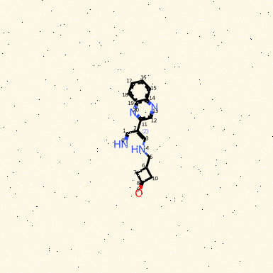 N=C/C(=C\NCC1CC(=O)C1)c1cnc2ccccc2n1